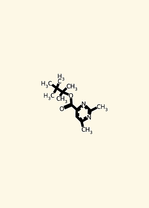 Cc1cc(C(=O)OC(C)(C)C(C)(C)C)nc(C)n1